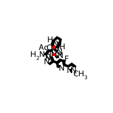 CC(=O)c1c([C@H]2C[C@H]3CC[C@@H](C2)N3C(=O)c2nnc[nH]2)nc2c(-c3cnc(-c4ccn(C)n4)c(F)c3)cnn2c1N